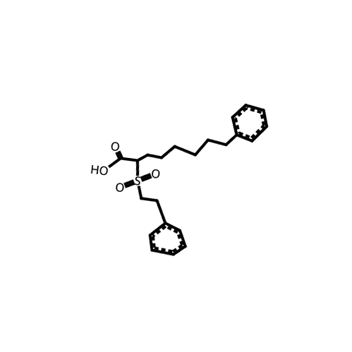 O=C(O)C(CCCCCCc1ccccc1)S(=O)(=O)CCc1ccccc1